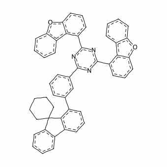 c1cc(-c2nc(-c3cccc4oc5ccccc5c34)nc(-c3cccc4oc5ccccc5c34)n2)cc(-c2cccc3c2C2(CCCCC2)c2ccccc2-3)c1